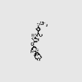 COC1CC(C(=O)Nc2ncc(Oc3cnc(N4C5CCC4COC5)nc3)s2)C1